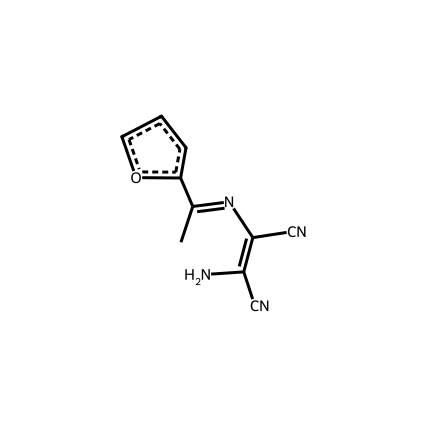 CC(=NC(C#N)=C(N)C#N)c1ccco1